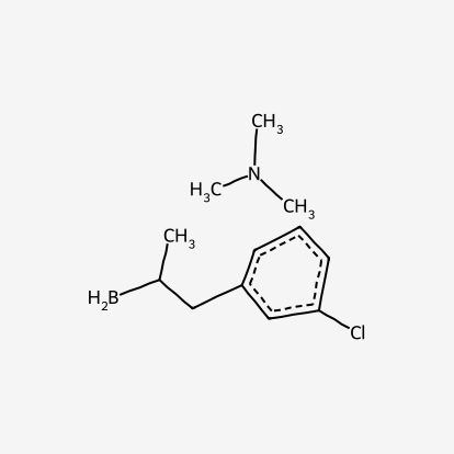 BC(C)Cc1cccc(Cl)c1.CN(C)C